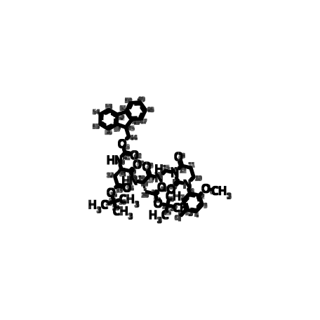 COc1ccc(I)cc1N1CCC(=O)N(CNC(=O)[C@H](CC(=O)OC(C)(C)C)NC(=O)[C@@H](CC(=O)OC(C)(C)C)NC(=O)OCC2c3ccccc3-c3ccccc32)C1=O